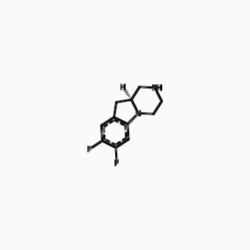 Fc1cc2c(cc1F)N1CCNC[C@@H]1C2